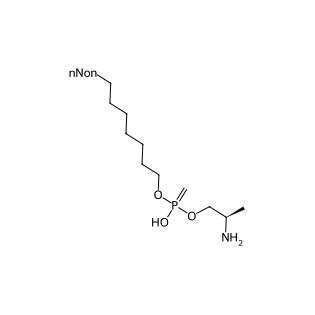 C=P(O)(OCCCCCCCCCCCCCCCC)OC[C@@H](C)N